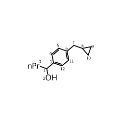 CCCC(O)c1ccc(CC2CC2)cc1